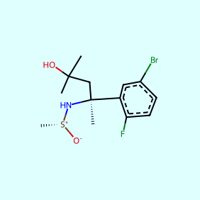 C[S@@+]([O-])N[C@@](C)(CC(C)(C)O)c1cc(Br)ccc1F